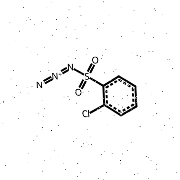 [N-]=[N+]=NS(=O)(=O)c1ccccc1Cl